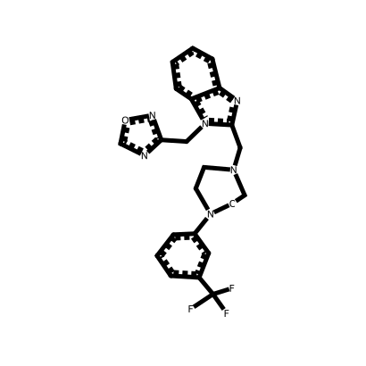 FC(F)(F)c1cccc(N2CCN(Cc3nc4ccccc4n3Cc3ncon3)CC2)c1